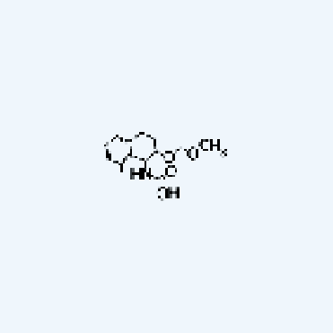 COCO[C@@H]1CCc2cccc(I)c2[C@@H]1NC(=O)O